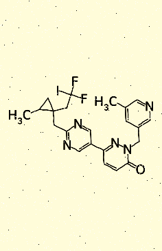 Cc1cncc(Cn2nc(-c3cnc(CC4(CC(F)(F)I)CC4C)nc3)ccc2=O)c1